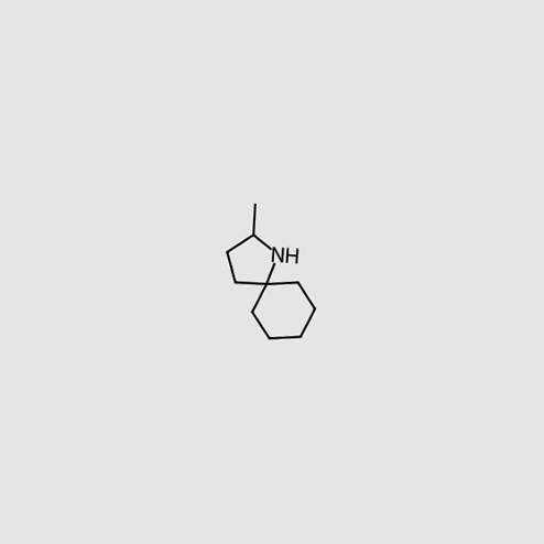 CC1CCC2(CCCCC2)N1